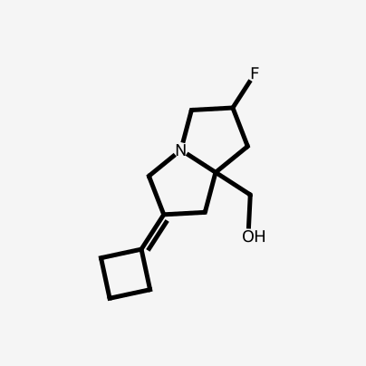 OCC12CC(=C3CCC3)CN1CC(F)C2